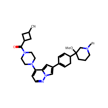 COC1(C2C=CC(c3cc4c(N5CCN(C(=O)C6CC(C#N)C6)CC5)ccnn4c3)=CC2)CCCN(C(C)C)C1